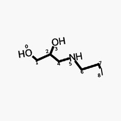 OCC(O)CNCCI